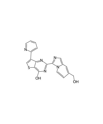 OCc1ccn2c(-c3nc(O)c4scc(-c5ccccn5)c4n3)ncc2c1